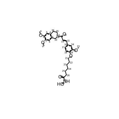 COc1cc2c(cc1OC)CN(C(=O)C=Cc1ccc(OCCCCCCC(=O)NO)c(OC)c1)CC2